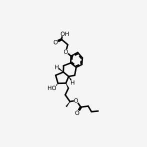 CCCC(=O)O[C@@H](C)CC[C@@H]1[C@H]2Cc3cccc(OCC(=O)O)c3C[C@H]2C[C@H]1O